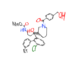 CCc1cccc(-c2c(Cl)cccc2[C@](O)(CCCNC(=O)OC)[C@@H]2CCCN(C(=O)c3ccc(CO)cc3)C2)c1